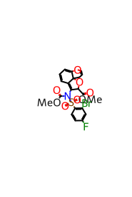 COC(=O)C1OC23CC=COC2=CC=CC3=C1N(C(=O)OC)S(=O)(=O)c1ccc(F)cc1Br